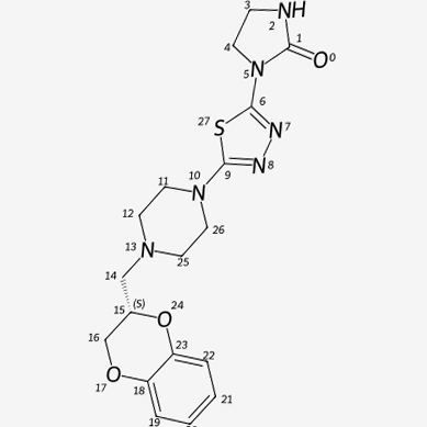 O=C1NCCN1c1nnc(N2CCN(C[C@H]3COc4ccccc4O3)CC2)s1